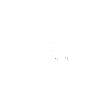 CCN(C)/C(=C(/C)N)c1ccc(-c2ccccc2)cc1